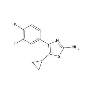 Nc1nc(-c2ccc(F)c(F)c2)c(C2CC2)s1